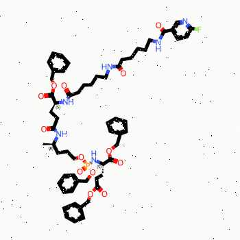 C[C@H](CCCOP(=O)(N[C@@H](CCC(=O)OCc1ccccc1)C(=O)OCc1ccccc1)OCc1ccccc1)NC(=O)CC[C@H](NC(=O)CCCCCNC(=O)CCCCCNC(=O)c1ccc(F)nc1)C(=O)OCc1ccccc1